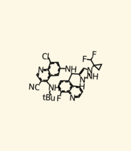 CC(C)(C)CNc1c(C#N)cnc2c(Cl)cc(N[C@H](C3=CN(C4(C(F)F)CC4)NN3)c3ccc(F)c4ncccc34)cc12